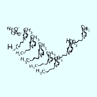 CCCC[n+]1ccn(C)c1.CCCC[n+]1ccn(C)c1.CCCC[n+]1ccn(C)c1.CCCC[n+]1ccn(C)c1.CCCC[n+]1ccn(C)c1.CCCC[n+]1ccn(C)c1.CCCC[n+]1ccn(C)c1.[F-].[F-].[F-].[F-].[O-]B([O-])[O-]